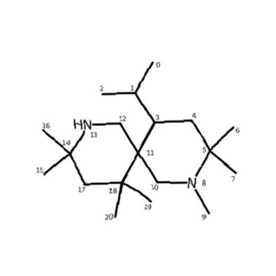 CC(C)C1CC(C)(C)N(C)CC12CNC(C)(C)CC2(C)C